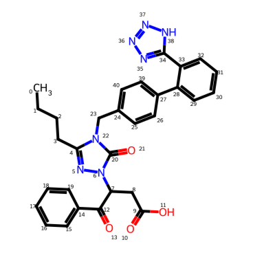 CCCCc1nn(C(CC(=O)O)C(=O)c2ccccc2)c(=O)n1Cc1ccc(-c2ccccc2-c2nnn[nH]2)cc1